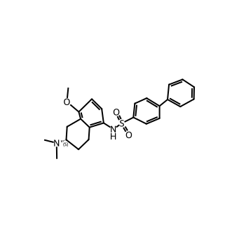 COc1ccc(NS(=O)(=O)c2ccc(-c3ccccc3)cc2)c2c1C[C@@H](N(C)C)CC2